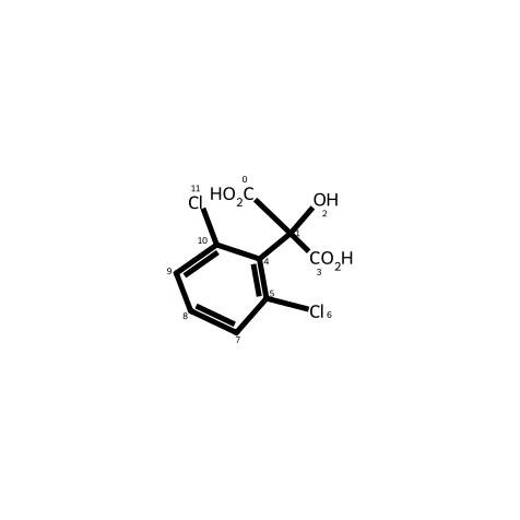 O=C(O)C(O)(C(=O)O)c1c(Cl)cccc1Cl